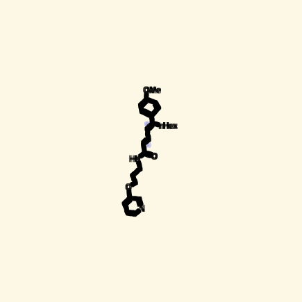 CCCCCC/C(=C\C=C\C(=O)NCCCOc1cccnc1)c1ccc(OC)cc1